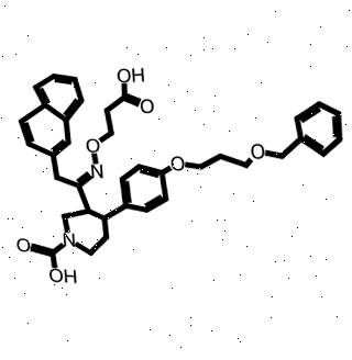 O=C(O)CCO/N=C(\Cc1ccc2ccccc2c1)C1CN(C(=O)O)CCC1c1ccc(OCCCOCc2ccccc2)cc1